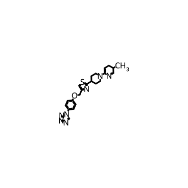 CC1C=NC(N2CCC(c3nc(COc4ccc(-n5cnnn5)cc4)cs3)CC2)=CC1